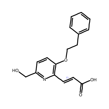 O=C(O)/C=C/c1nc(CO)ccc1OCCc1ccccc1